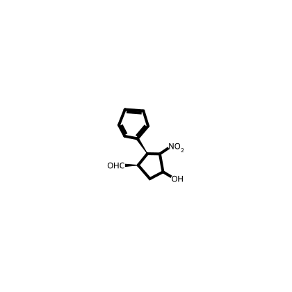 O=C[C@@H]1CC(O)C([N+](=O)[O-])[C@@H]1c1ccccc1